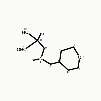 CN(CC1CCOCC1)CC(C)(O)C=O